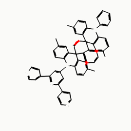 Cc1ccc2c(c1)C1(c3cc(C)ccc3N2c2ccccc2)c2ccccc2C2(c3cc(C)ccc3N(c3cc(-c4ccncc4)nc(-c4ccncc4)c3)c3ccc(C)cc32)c2ccccc21